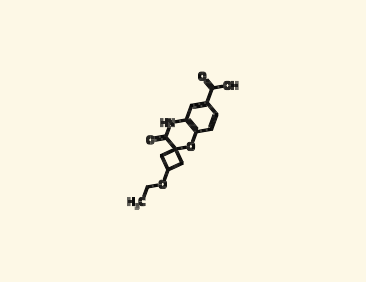 CCOC1CC2(C1)Oc1ccc(C(=O)O)cc1NC2=O